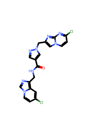 O=C(NCc1ncn2ccc(Cl)cc12)c1cnn(Cc2cn3ccc(Cl)nc3n2)c1